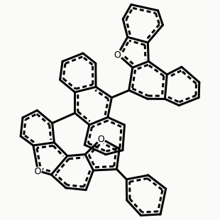 c1ccc(-c2coc3c2ccc2oc4cccc(-c5c6ccccc6c(-c6cc7ccccc7c7c6oc6ccccc67)c6ccccc56)c4c23)cc1